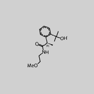 COCCNC(=O)[C@H](C)c1ccccc1C(C)(C)O